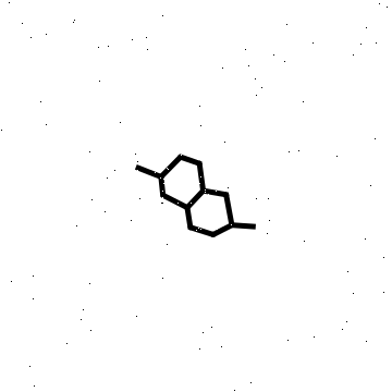 CC1CCC2CC(C)CCC2C1